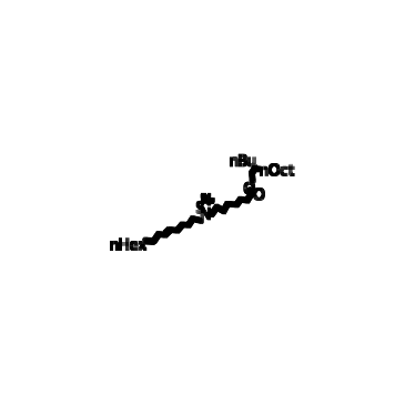 CCCCCCC=CCC=CCCCCCN(CCCCCCCC(=O)OCCC(CCCC)CCCCCCCC)SN(C)C